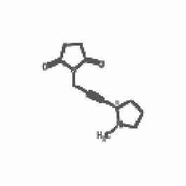 CN1CCC[C@@H]1C#CCN1C(=O)CCC1=O